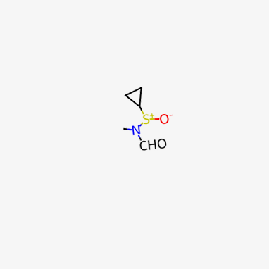 CN(C=O)[S+]([O-])C1CC1